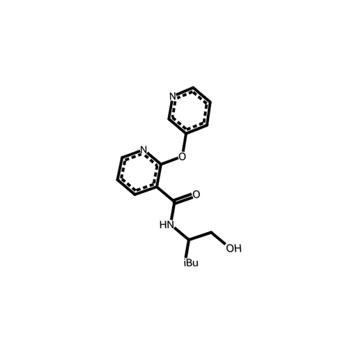 CCC(C)C(CO)NC(=O)c1cccnc1Oc1cccnc1